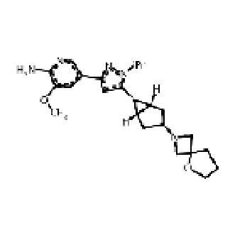 CC(C)n1nc(-c2cnc(N)c(OC(F)(F)F)c2)cc1[C@H]1[C@@H]2C[C@@H](N3CC4(CCCO4)C3)C[C@@H]21